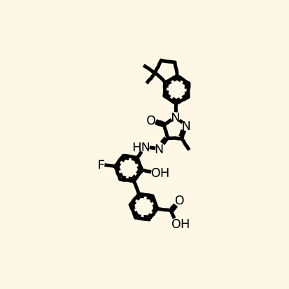 CC1=NN(c2ccc3c(c2)C(C)(C)CC3)C(=O)C1=NNc1cc(F)cc(-c2cccc(C(=O)O)c2)c1O